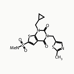 CNS(=O)(=O)c1cc2c(=O)n(Cc3cnc(C)s3)c(=O)n(CC3CC3)c2s1